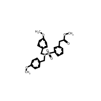 COC(=O)Cc1cccc(S(=O)(=O)N(Cc2ccc(OC)cc2)Cc2ccc(OC)cc2)c1